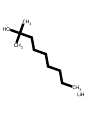 CCCCCCCC(C)(C)O.[LiH]